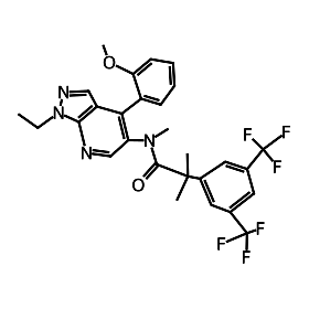 CCn1ncc2c(-c3ccccc3OC)c(N(C)C(=O)C(C)(C)c3cc(C(F)(F)F)cc(C(F)(F)F)c3)cnc21